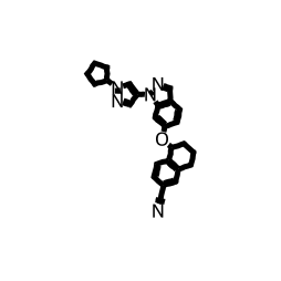 N#Cc1ccc2c(c1)CCCC2Oc1ccc2cnn(-c3cnn(C4CCCC4)c3)c2c1